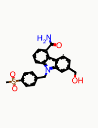 CS(=O)(=O)c1ccc(Cn2c3cc(CO)c[c]c3c3c(C(N)=O)cccc32)cc1